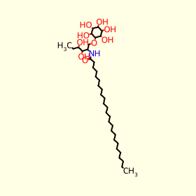 CCCCCCCCCCCCCCCCCCCCCCCCCC(=O)NC(COC1C(O)C(O)C(O)C(O)C1O)C(O)C(O)CC